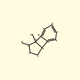 CC1[CH]C[C]2c3ccccc3C21C